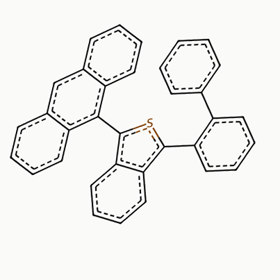 c1ccc(-c2ccccc2-c2sc(-c3c4ccccc4cc4ccccc34)c3ccccc23)cc1